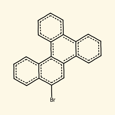 Brc1cc2c3ccccc3c3ccccc3c2c2ccccc12